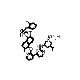 Cc1ccc2c(NS(=O)(=O)Cc3ccccc3F)c(F)ccc2c1Oc1ncccc1-c1ccnc(NC2CC(F)CN(C(=O)O)C2)n1